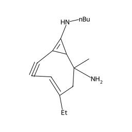 CCCCNC1=C2C#C/C=C(\CC)CC(C)(N)C21